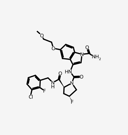 COCCOc1ccc2c(c1)c(NC(=O)N1C[C@H](F)C[C@H]1C(=O)NCc1cccc(Cl)c1F)cn2C(N)=O